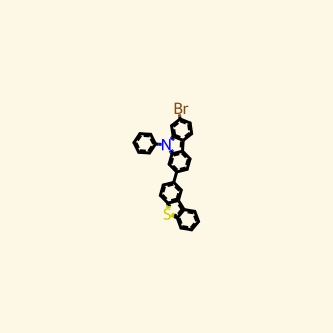 Brc1ccc2c3ccc(-c4ccc5sc6ccccc6c5c4)cc3n(-c3ccccc3)c2c1